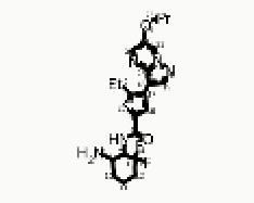 CCc1sc(C(=O)NC2C(N)CCCC2(F)F)cc1-c1cnn2cc(OC(C)C)cnc12